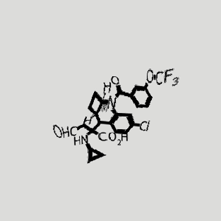 O=CCC(NC1CC1)(C(=O)O)C1c2ccc(Cl)cc2N(C(=O)c2cccc(OC(F)(F)F)c2)[C@@H]2CC[C@H]12